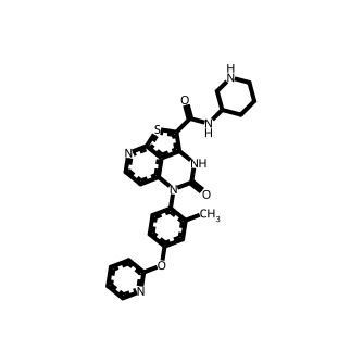 Cc1cc(Oc2ccccn2)ccc1N1C(=O)Nc2c(C(=O)NC3CCCNC3)sc3nccc1c23